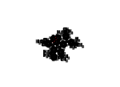 CC(C)(C)c1ccc(N2B3c4cc5c(cc4N(c4ccc(C(C)(C)C)cc4-c4ccccc4)c4cc6ccccc6c(c43)-c3cc(N(c4ccc(C(C)(C)C)cc4)c4ccc(C(C)(C)C)cc4)ccc32)C(C)(C)c2ccccc2-5)cc1